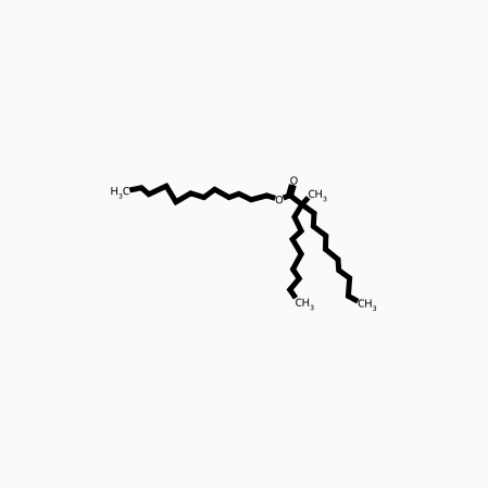 CCCCCCCCCCCCOC(=O)C(C)(CCCCCCCC)CCCCCCCCC